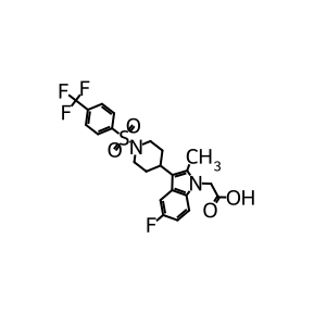 Cc1c(C2CCN(S(=O)(=O)c3ccc(C(F)(F)F)cc3)CC2)c2cc(F)ccc2n1CC(=O)O